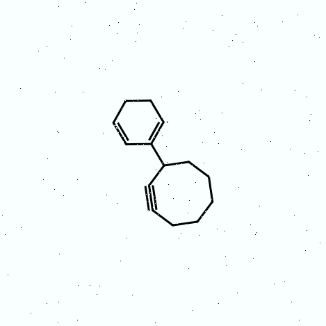 [C]1=C(C2C#CCCCCC2)C=CCC1